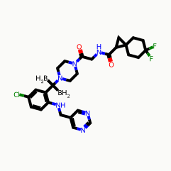 BC(B)(c1cc(Cl)ccc1NCc1cncnc1)N1CCN(C(=O)CNC(=O)C2CC23CCC(F)(F)CC3)CC1